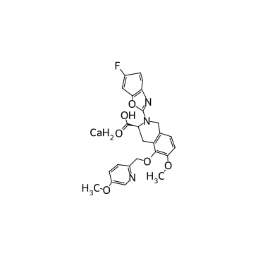 COc1ccc(COc2c(OC)ccc3c2C[C@@H](C(=O)O)N(c2nc4ccc(F)cc4o2)C3)nc1.[CaH2]